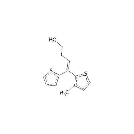 Cc1ccsc1/C(=C/CCO)c1cccs1